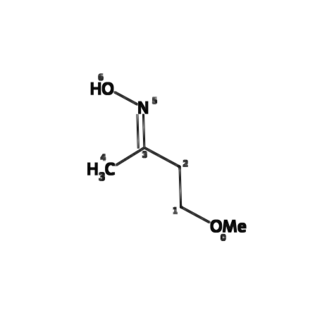 COCC/C(C)=N/O